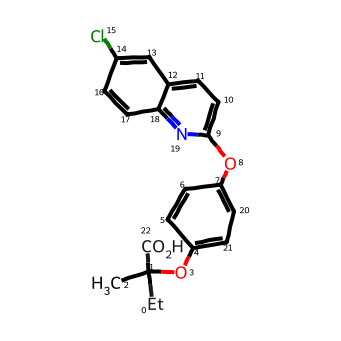 CCC(C)(Oc1ccc(Oc2ccc3cc(Cl)ccc3n2)cc1)C(=O)O